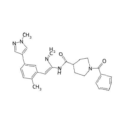 C=N/C(=C\c1cc(-c2cnn(C)c2)ccc1C)NC(=O)C1CCN(C(=O)c2ccccc2)CC1